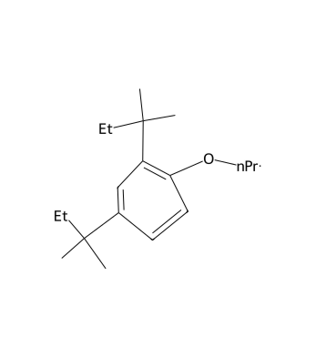 CC[CH]Oc1ccc(C(C)(C)CC)cc1C(C)(C)CC